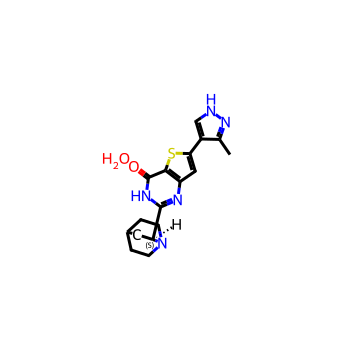 Cc1n[nH]cc1-c1cc2nc([C@@H]3CC4CCN3CC4)[nH]c(=O)c2s1.O